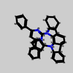 c1ccc(-c2cc(-c3ccccc3)nc(-n3c4c(c5ccc6c7ccccc7n(-c7ccccc7)c6c53)CCCC4)n2)cc1